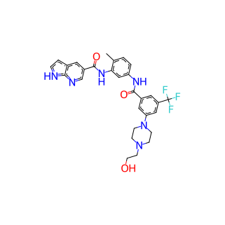 Cc1ccc(NC(=O)c2cc(N3CCN(CCO)CC3)cc(C(F)(F)F)c2)cc1NC(=O)c1cnc2[nH]ccc2c1